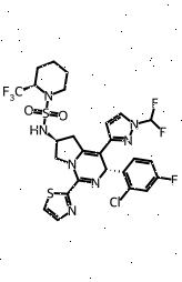 O=S(=O)(N[C@H]1CC2=C(c3ccn(C(F)F)n3)[C@H](c3ccc(F)cc3Cl)N=C(c3nccs3)N2C1)N1CCCC[C@@H]1C(F)(F)F